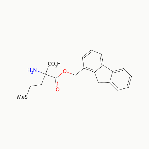 CSCCC(N)(C(=O)O)C(=O)OCc1cccc2c1Cc1ccccc1-2